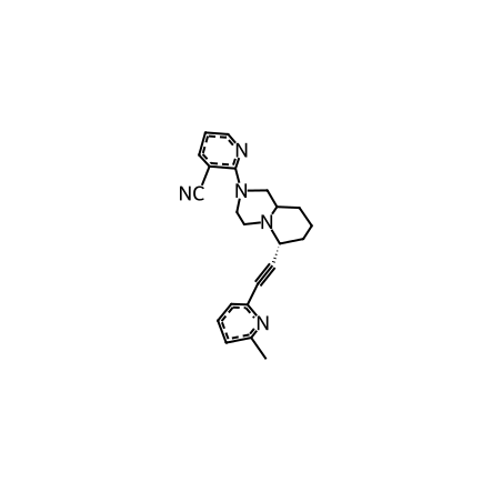 Cc1cccc(C#C[C@H]2CCCC3CN(c4ncccc4C#N)CCN32)n1